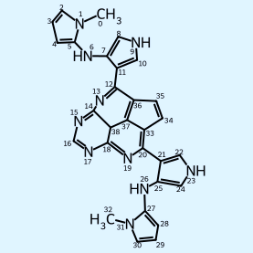 Cn1cccc1Nc1c[nH]cc1C1=NC2=NC=NC3=NC(c4c[nH]cc4Nc4cccn4C)=C4C=CC1=C4C23